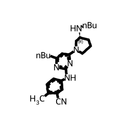 CCCCN[C@@H]1CCCN(c2cc(CCCC)nc(Nc3ccc(C)c(C#N)c3)n2)C1